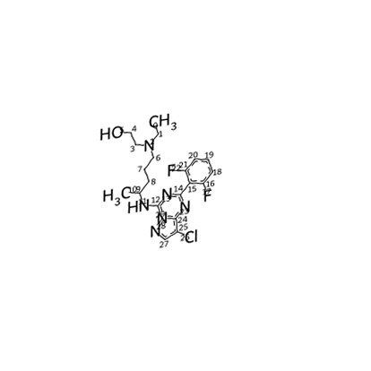 CCN(CCO)CCCC(C)Nc1nc(-c2c(F)cccc2F)nc2c(Cl)cnn12